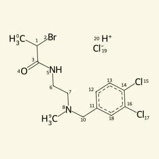 CC(Br)C(=O)NCCN(C)Cc1ccc(Cl)c(Cl)c1.[Cl-].[H+]